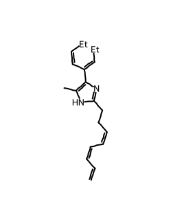 C=C/C=C\C=C/CCc1nc(C(/C=C\CC)=C/CC)c(C)[nH]1